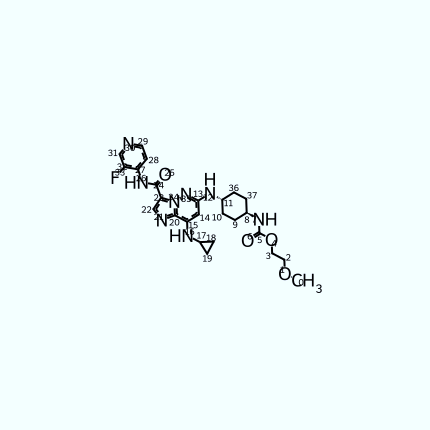 COCCOC(=O)N[C@H]1CC[C@H](Nc2cc(NC3CC3)c3ncc(C(=O)Nc4ccncc4F)n3n2)CC1